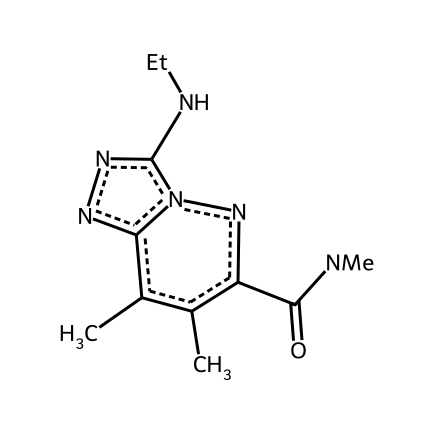 CCNc1nnc2c(C)c(C)c(C(=O)NC)nn12